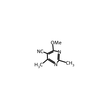 COc1nc(C)nc(C)c1C#N